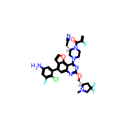 C=C(F)C(=O)N1CCN(c2nc(OC[C@@H]3CC(F)(F)CN3C)nc3cc(-c4cc(N)cc(F)c4Cl)c4ccoc4c23)C[C@@H]1CC#N